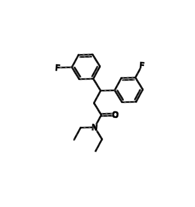 CCN(CC)C(=O)CC(c1cccc(F)c1)c1cccc(F)c1